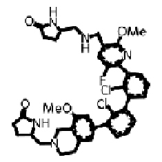 COc1cc(-c2cccc(-c3cccc(-c4nc(OC)c(CNCC5CCC(=O)N5)cc4F)c3Cl)c2Cl)cc2c1CN(CC1CCC(=O)N1)CC2